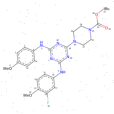 COc1ccc(Nc2nc(Nc3ccc(OC)c(F)c3)nc(N3CCN(C(=O)OC(C)(C)C)CC3)n2)cc1